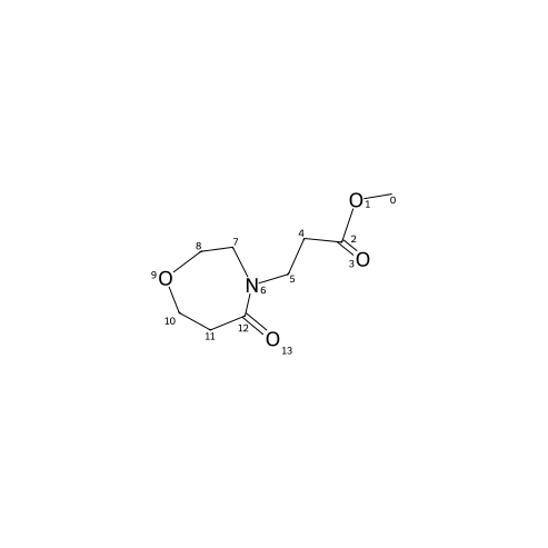 COC(=O)CCN1CCOCCC1=O